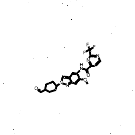 COc1cc2nn(C3CCC(C=O)CC3)cc2cc1NC(=O)c1ccnc(C(F)(F)F)n1